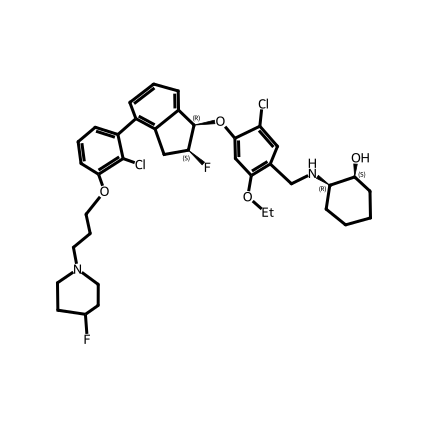 CCOc1cc(O[C@@H]2c3cccc(-c4cccc(OCCCN5CCC(F)CC5)c4Cl)c3C[C@@H]2F)c(Cl)cc1CN[C@@H]1CCCC[C@@H]1O